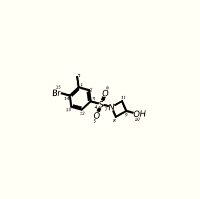 Cc1cc(S(=O)(=O)N2CC(O)C2)ccc1Br